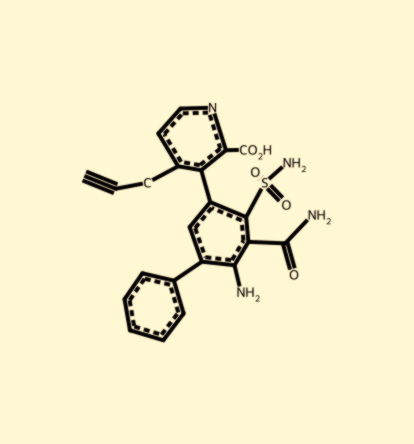 C#CCc1ccnc(C(=O)O)c1-c1cc(-c2ccccc2)c(N)c(C(N)=O)c1S(N)(=O)=O